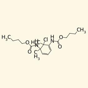 CCCCOC(=O)NC1=CC=CC(C)(NC(=O)OCCCC)C1(C)Cl